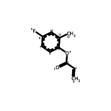 C=CC(=O)Oc1ccc(F)cc1C